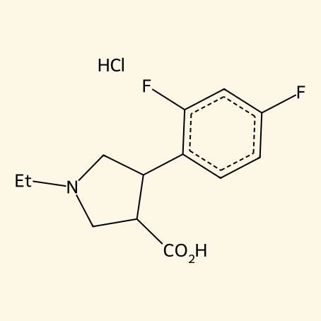 CCN1CC(C(=O)O)C(c2ccc(F)cc2F)C1.Cl